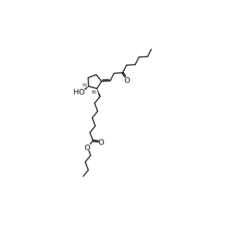 CCCCCC(=O)CC=C1CC[C@H](O)[C@@H]1CCCCCCC(=O)OCCCC